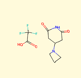 O=C(O)C(F)(F)F.O=C1CC(N2CCC2)CC(=O)N1